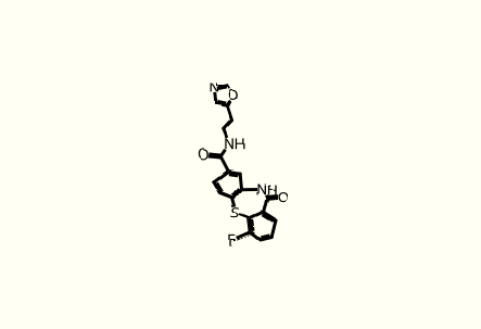 O=C(NCCc1cnco1)c1ccc2c(c1)NC(=O)c1cccc(F)c1S2